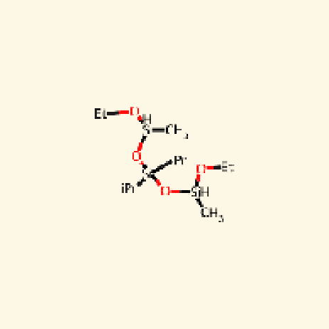 CCO[SiH](C)O[Si](O[SiH](C)OCC)(C(C)C)C(C)C